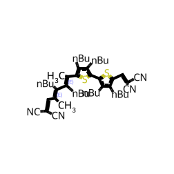 CCCCC(=C(/C)C=C(C#N)C#N)/C(CCCC)=C(\C)c1sc(-c2sc(C=C(C#N)C#N)c(CCCC)c2CCCC)c(CCCC)c1CCCC